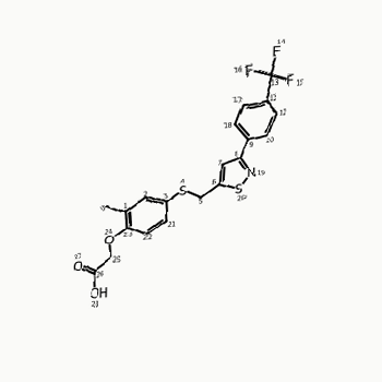 Cc1cc(SCc2cc(-c3ccc(C(F)(F)F)cc3)ns2)ccc1OCC(=O)O